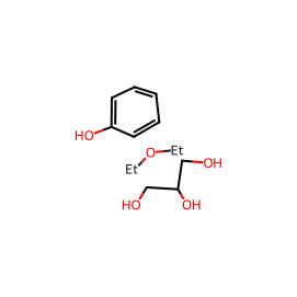 CCOCC.OCC(O)CO.Oc1ccccc1